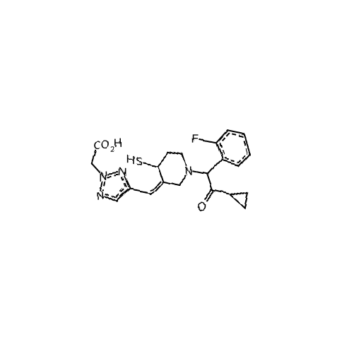 O=C(O)Cn1ncc(C=C2CN(C(C(=O)C3CC3)c3ccccc3F)CCC2S)n1